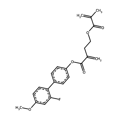 C=C(C)C(=O)OCCC(=C)C(=O)Oc1ccc(-c2ccc(OC)cc2F)cc1